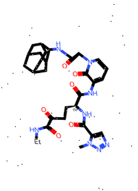 CCNC(=O)C(=O)CC[C@H](NC(=O)c1cnnn1C)C(=O)Nc1cccn(CC(=O)NC2C3CC4CC(C3)CC2C4)c1=O